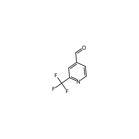 O=Cc1ccnc(C(F)(F)F)c1